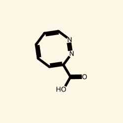 O=C(O)C1=C/C=C\C=C/N=N\1